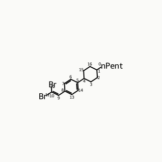 CCCCCC1CCC(c2ccc(C=C(Br)Br)cc2)CC1